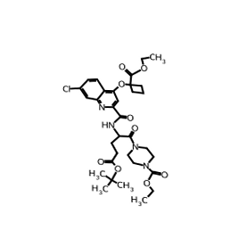 CCOC(=O)N1CCN(C(=O)C(CCC(=O)OC(C)(C)C)NC(=O)c2cc(OC3(C(=O)OCC)CCC3)c3ccc(Cl)cc3n2)CC1